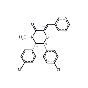 CN1C(=O)/C(=C/c2cccnc2)O[C@H](c2ccc(Cl)cc2)[C@@H]1c1ccc(Cl)cc1